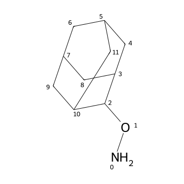 NOC1C2CC3CC(C2)CC1C3